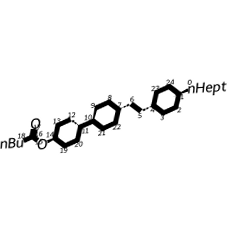 CCCCCCC[C@H]1CC[C@H](CC[C@H]2CC[C@H]([C@H]3CC[C@H](OC(=O)CCCC)CC3)CC2)CC1